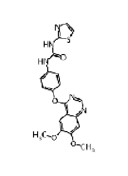 COc1cc2ncnc(Oc3ccc(NC(=O)Nc4nccs4)cc3)c2cc1OC